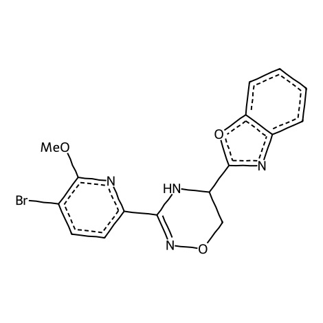 COc1nc(C2=NOCC(c3nc4ccccc4o3)N2)ccc1Br